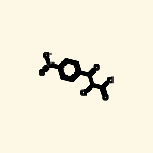 O=C(Cl)C(Cl)C(=O)c1ccc([N+](=O)[O-])cc1